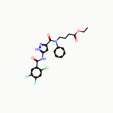 CCOC(=O)CCCN(C(=O)c1cc(NC(=O)c2cc(F)c(F)cc2Cl)[nH]n1)c1ccccc1